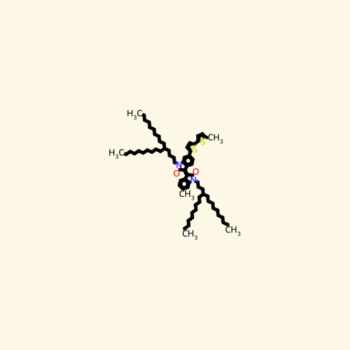 CCCCCCCCCCC(CCCCCCCCCC)CCCCN1C(=O)/C(=C2/C(=O)N(CCCC(CCCCCCCCCC)CCCCCCCCCC)c3cc(C)ccc32)c2ccc(-c3ccc(-c4ccc(C)s4)s3)cc21